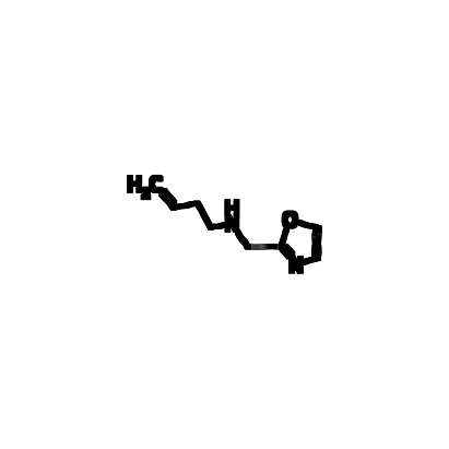 C=CCCNCc1ncco1